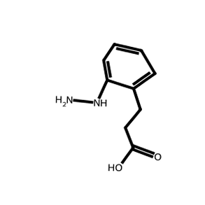 NNc1ccccc1CCC(=O)O